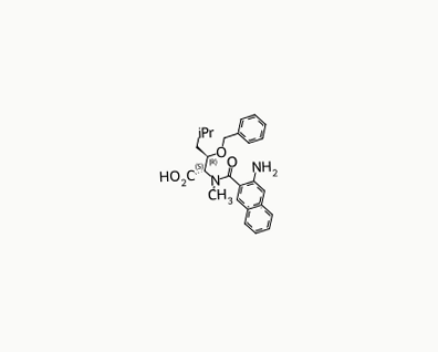 CC(C)C[C@@H](OCc1ccccc1)[C@@H](C(=O)O)N(C)C(=O)c1cc2ccccc2cc1N